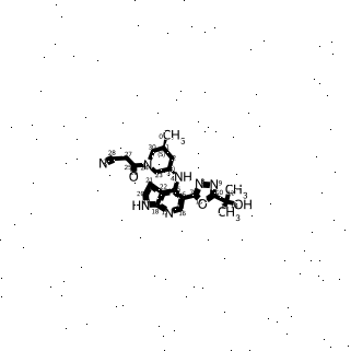 C[C@H]1C[C@@H](Nc2c(-c3nnc(C(C)(C)O)o3)cnc3[nH]ccc23)CN(C(=O)CC#N)C1